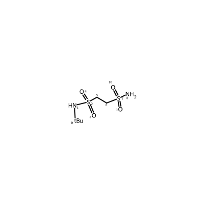 CC(C)(C)NS(=O)(=O)CCS(N)(=O)=O